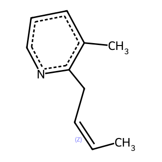 C/C=C\Cc1ncccc1C